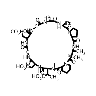 CC(C)C1NC(=O)CNC(=O)C(CC(=O)O)NC(=O)CNC(=O)C(CC(=O)O)NC(=O)C(C(C)C(=O)O)NC(=O)C2CCCCN2C(=O)[C@@H](C)C(C)NC(=O)C2CCCN2C(=O)C(C(C)C)NC1=O